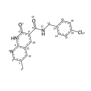 Cc1cnc2[nH]c(=O)c(C(=O)NCc3ccc(Cl)cc3)cc2c1